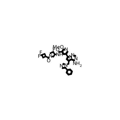 COc1ncc(-c2cc(Cn3cncc3-c3ccccc3)c3c(N)ncnn23)cc1C(=O)NC1CN(C(=O)C2CC(F)(F)C2)C[C@@H]1F